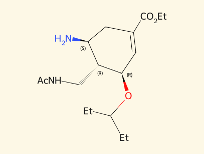 CCOC(=O)C1=C[C@@H](OC(CC)CC)[C@H](CNC(C)=O)[C@@H](N)C1